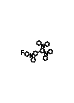 Fc1ccc(-n2c3ccccc3c3cc(-c4cc(N(c5ccccc5)c5ccccc5)cc(N(c5ccccc5)c5ccccc5)c4)ccc32)cc1